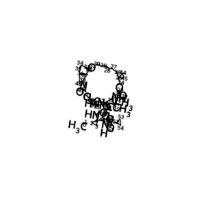 CC[C@H]1C[C@@]1(NC(=O)[C@@H]1C[C@@H]2CN1C(=O)[C@H](C(C)(C)C)NC(=O)OCC1(CC/C=C/COc3cccc4c3CN(C4)C(=O)O2)CC1)C(=O)NS(=O)(=O)C1CC1